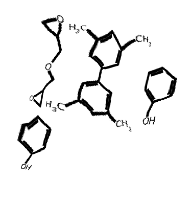 C(OCC1CO1)C1CO1.Cc1cc(C)cc(-c2cc(C)cc(C)c2)c1.Oc1ccccc1.Oc1ccccc1